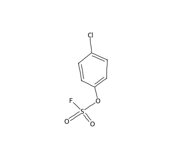 O=S(=O)(F)Oc1ccc(Cl)cc1